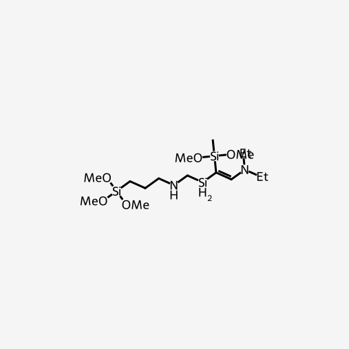 CCN(C=C([SiH2]CNCCC[Si](OC)(OC)OC)[Si](C)(OC)OC)CC